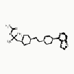 CC(C)(CC1CCC(CCN2CCN(c3nccc4sccc34)CC2)CC1)OC(N)=O